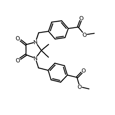 COC(=O)c1ccc(CN2C(=O)C(=O)N(Cc3ccc(C(=O)OC)cc3)C2(C)C)cc1